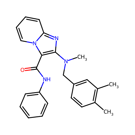 Cc1ccc(CN(C)c2nc3ccccn3c2C(=O)Nc2ccccc2)cc1C